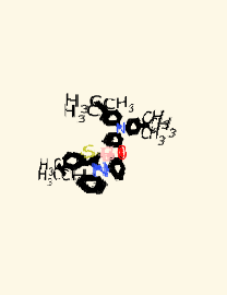 CC(C)(C)c1ccc(N(c2ccc(C(C)(C)C)cc2)c2ccc3c(c2)Oc2cccc4c2B3c2sc3ccc(C(C)(C)C)cc3c2N4c2ccccc2)cc1